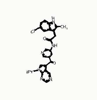 Cc1[nH]c2ccc(Cl)cc2c1CC(=O)Nc1cncc(C(=O)c2cn(C(C)C)c3ncncc23)c1